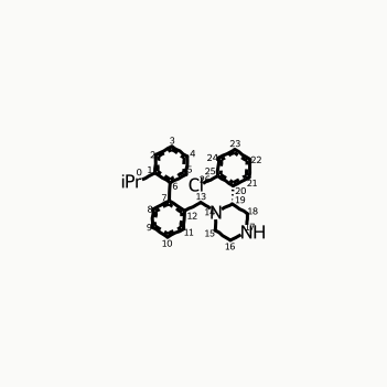 CC(C)c1ccccc1-c1ccccc1CN1CCNC[C@H]1c1ccccc1Cl